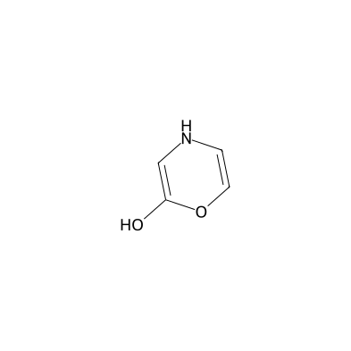 OC1=CNC=CO1